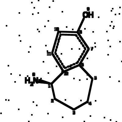 N[C@@H]1CCCCc2cc(O)ccc21